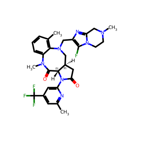 Cc1cc(C(F)(F)F)cc(N2C(=O)C[C@@H]3CN(Cc4nc5n(c4F)CCN(C)C5)c4c(C)cccc4N(C)C(=O)[C@H]32)n1